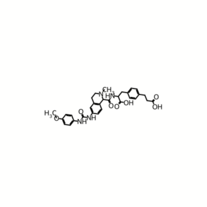 COc1ccc(NC(=O)Nc2ccc3c(c2)CCN(C)C3C(=O)NC(Cc2ccc(CCC(=O)O)cc2)C(=O)O)cc1